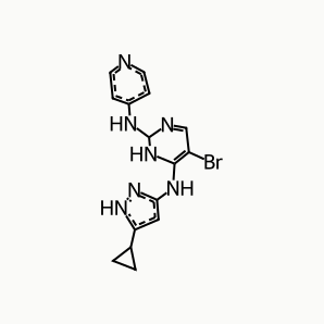 BrC1=C(Nc2cc(C3CC3)[nH]n2)NC(Nc2ccncc2)N=C1